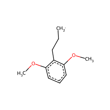 [CH2]CCc1c(OC)cccc1OC